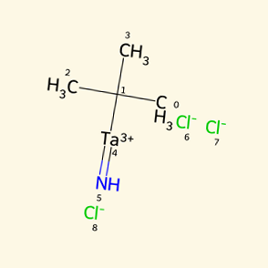 C[C](C)(C)[Ta+3]=[NH].[Cl-].[Cl-].[Cl-]